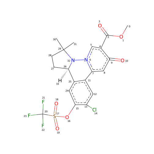 COC(=O)c1cn2c(cc1=O)-c1cc(Cl)c(OS(=O)(=O)C(F)(F)F)cc1[C@H]1CCC(C)(C)N12